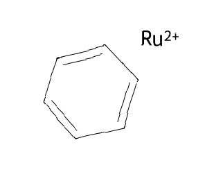 [Ru+2].c1ccccc1